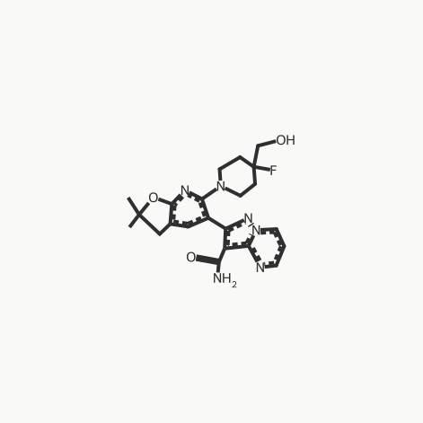 CC1(C)Cc2cc(-c3nn4cccnc4c3C(N)=O)c(N3CCC(F)(CO)CC3)nc2O1